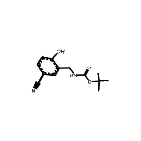 CC(C)(C)OC(=O)NCc1cc(C#N)ccc1O